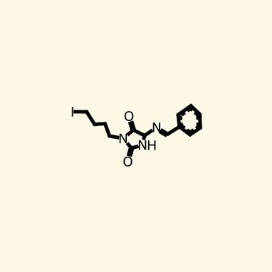 O=C1NC(N=Cc2ccccc2)C(=O)N1CCCCI